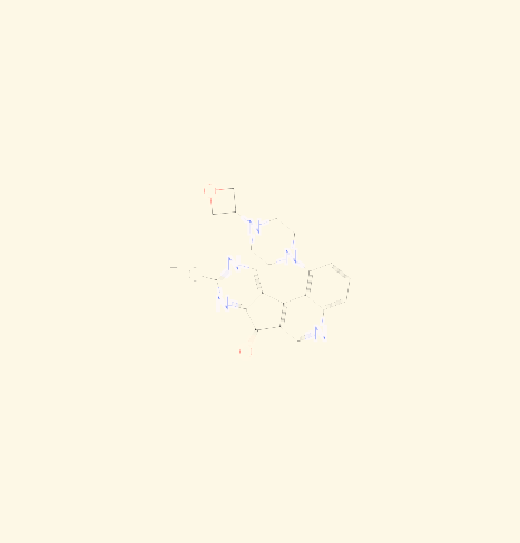 O=C1c2cnc3cccc(N4CCN(C5COC5)CC4)c3c2-c2cnc(C(F)(F)F)nc21